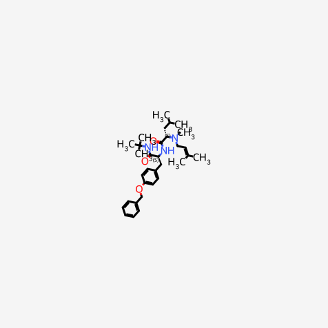 CC(C)=CCN(C)[C@@H](CC(C)C)C(=O)N[C@@H](Cc1ccc(OCc2ccccc2)cc1)C(=O)NC(C)(C)C